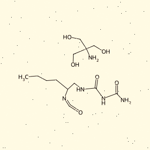 CCCCC(CNC(=O)NC(N)=O)N=C=O.NC(CO)(CO)CO